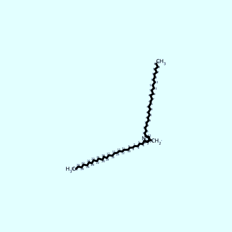 [CH2]c1cc(CCCCCCCCCCCCCCCCCCCCCCCCCCCC)nc(CCCCCCCCCCCCCCCCCCCCCCCCCCCC)c1